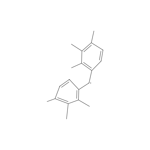 Cc1ccc([C]c2ccc(C)c(C)c2C)c(C)c1C